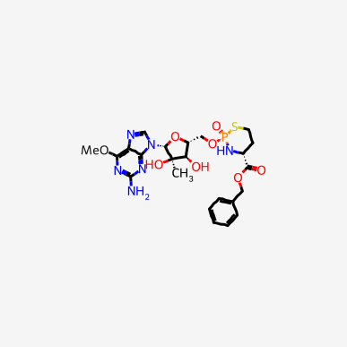 COc1nc(N)nc2c1ncn2[C@@H]1O[C@H](CO[P@]2(=O)N[C@@H](C(=O)OCc3ccccc3)CCS2)[C@@H](O)[C@@]1(C)O